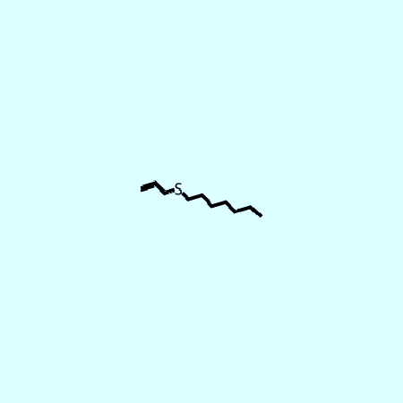 C=CCSCCCCCCC